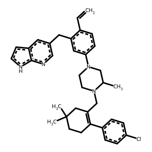 C=Cc1ccc(N2CCN(CC3=C(c4ccc(Cl)cc4)CCC(C)(C)C3)C(C)C2)cc1Cc1cnc2[nH]ccc2c1